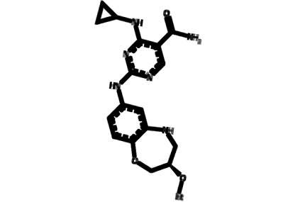 CCO[C@@H]1CNc2cc(Nc3ncc(C(N)=O)c(NC4CC4)n3)ccc2OC1